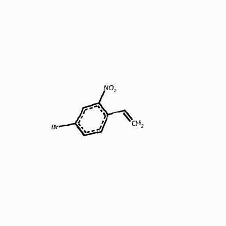 C=Cc1ccc(Br)cc1[N+](=O)[O-]